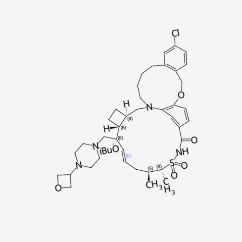 CC(C)CO[C@@]1(CN2CCN(C3COC3)CC2)/C=C/C[C@H](C)[C@@H](C)S(=O)(=O)NC(=O)c2ccc3c(c2)N(CCCCc2cc(Cl)ccc2CO3)C[C@@H]2CC[C@H]21